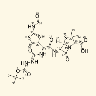 CC(C)(C)OC(=O)NNC(=O)NC(C(=O)NC1C(=O)N2[C@@H]1SC(C)(C)[C@@H]2C(=O)O)c1csc(NC=O)n1